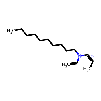 C=CN(/C=C\C)CCCCCCCCCC